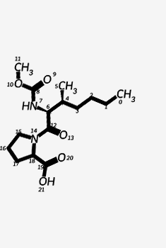 CCCC[C@H](C)[C@H](NC(=O)OC)C(=O)N1CCCC1C(=O)O